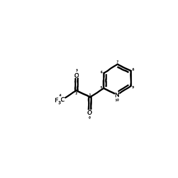 O=C(C(=O)C(F)(F)F)c1ccccn1